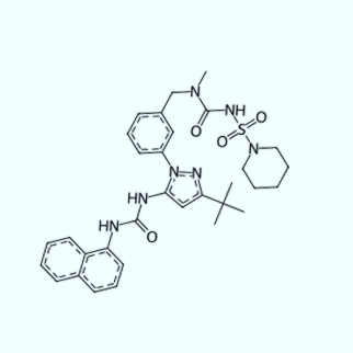 CN(Cc1cccc(-n2nc(C(C)(C)C)cc2NC(=O)Nc2cccc3ccccc23)c1)C(=O)NS(=O)(=O)N1CCCCC1